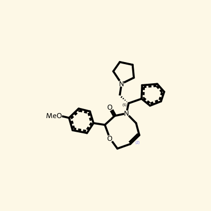 COc1ccc(C2OC/C=C\CN([C@H](CN3CCCC3)c3ccccc3)C2=O)cc1